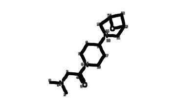 CN(C)CC(=O)N1CCC(N2CC3CC(C2)O3)CC1